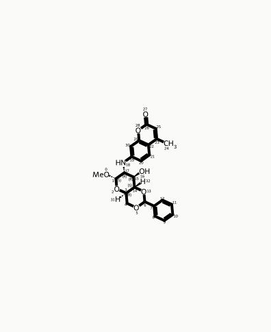 CO[C@H]1O[C@@H]2COC(c3ccccc3)O[C@H]2[C@H](O)[C@H]1Nc1ccc2c(C)cc(=O)oc2c1